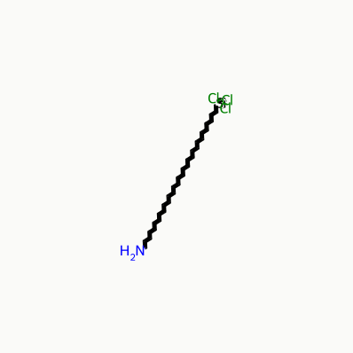 NCCCCCCCCCCCCCCCCCCCCCCCCCCCCCCCC[Si](Cl)(Cl)Cl